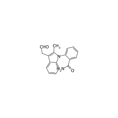 Cc1c(CC=O)c2ccccc2n1-c1ccccc1C(N)=O